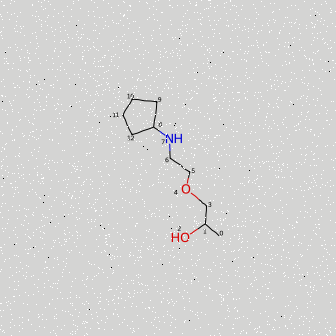 CC(O)COCCNC1CCCC1